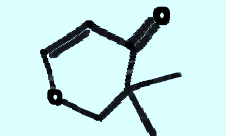 CC1(C)COC=CC1=O